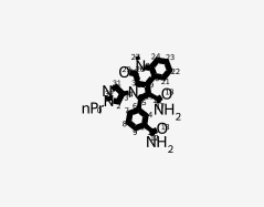 CCCn1cc(-n2c(-c3cccc(C(N)=O)c3)c(C(N)=O)c3c4ccccc4n(C)c(=O)c32)cn1